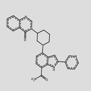 NC(=O)c1ccc(N2CCCC(n3cnc4ccccc4c3=O)C2)c2cc(-c3cccnc3)[nH]c12